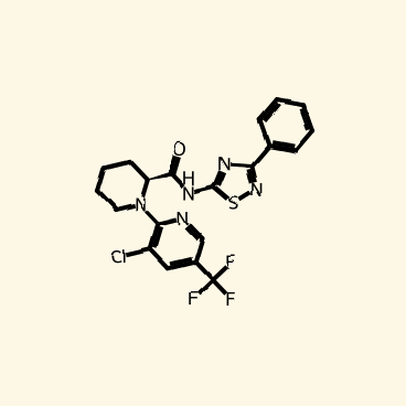 O=C(Nc1nc(-c2ccccc2)ns1)[C@@H]1CCCCN1c1ncc(C(F)(F)F)cc1Cl